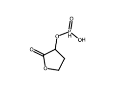 O=C1OCCC1O[PH](=O)O